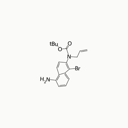 C=CCN(C(=O)OC(C)(C)C)c1ccc2c(N)cccc2c1Br